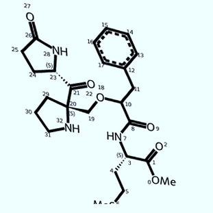 COC(=O)[C@H](CCSC)NC(=O)C(Cc1ccccc1)OC[C@]1(C(=O)[C@@H]2CCC(=O)N2)CCCN1